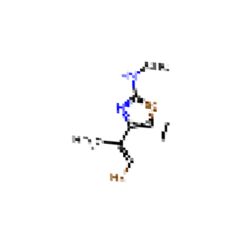 CC.O=CNc1nc(C(=CS)C(=O)O)cs1